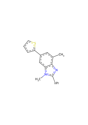 CCCc1nc2c(C)cc(-c3cccs3)cc2n1C